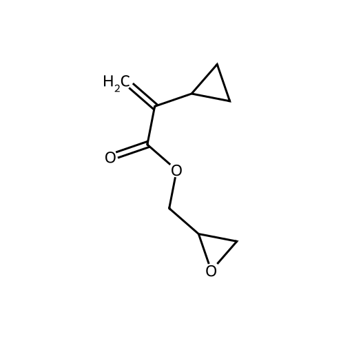 C=C(C(=O)OCC1CO1)C1CC1